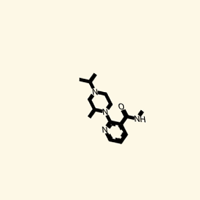 CNC(=O)c1cccnc1N1CCN(C(C)C)CC1C